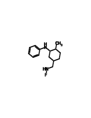 CC1CCC(CNF)CC1Nc1ccccc1